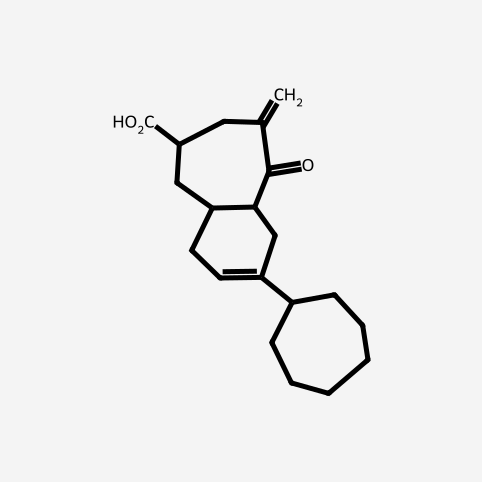 C=C1CC(C(=O)O)CC2CC=C(C3CCCCCC3)CC2C1=O